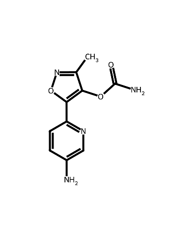 Cc1noc(-c2ccc(N)cn2)c1OC(N)=O